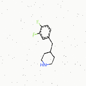 Fc1ccc(CC2CCNCC2)cc1F